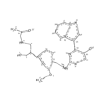 COc1cc(C(CO)CNC(C)=O)ccc1Nc1ncc(Cl)c(-c2cnc3ccccn23)n1